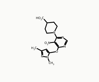 Cc1cc(Oc2ncnc(N3CCC(C(=O)O)CC3)c2[N+](=O)[O-])n(C)n1